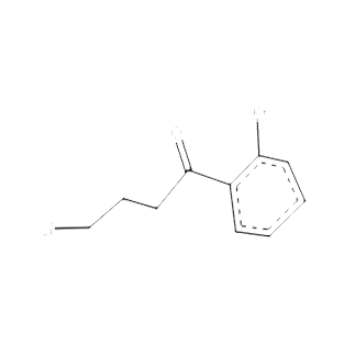 CCc1ccccc1C(=O)CCCCl